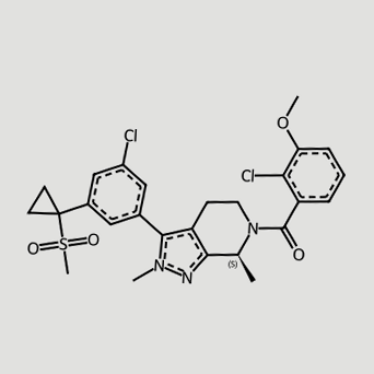 COc1cccc(C(=O)N2CCc3c(nn(C)c3-c3cc(Cl)cc(C4(S(C)(=O)=O)CC4)c3)[C@@H]2C)c1Cl